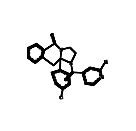 O=C(c1ccnc(Cl)c1)N1CCN2C(=O)c3ccccc3CC12c1ccc(Cl)cc1